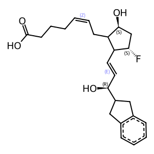 O=C(O)CCC/C=C\CC1C(/C=C/[C@H](O)C2Cc3ccccc3C2)[C@@H](F)C[C@@H]1O